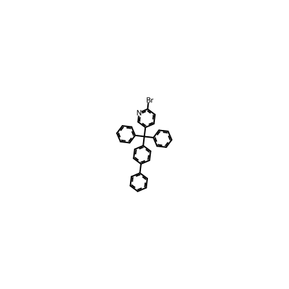 Brc1ccc(C(c2ccccc2)(c2ccccc2)c2ccc(-c3ccccc3)cc2)cn1